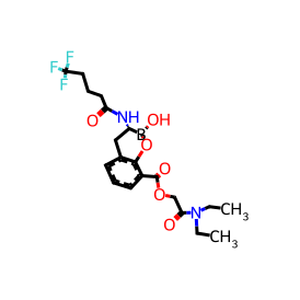 CCN(CC)C(=O)COC(=O)c1cccc2c1OB(O)[C@@H](NC(=O)CCCC(F)(F)F)C2